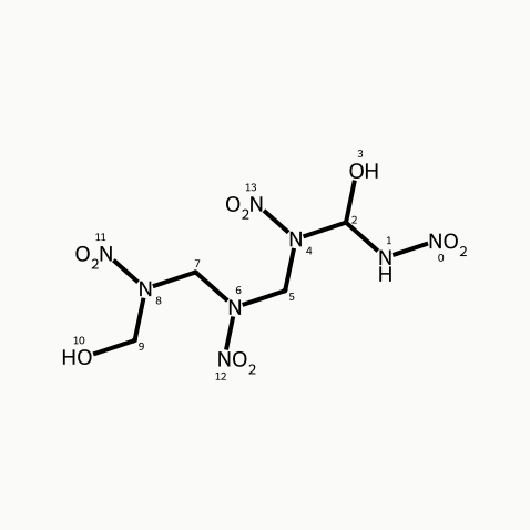 O=[N+]([O-])NC(O)N(CN(CN(CO)[N+](=O)[O-])[N+](=O)[O-])[N+](=O)[O-]